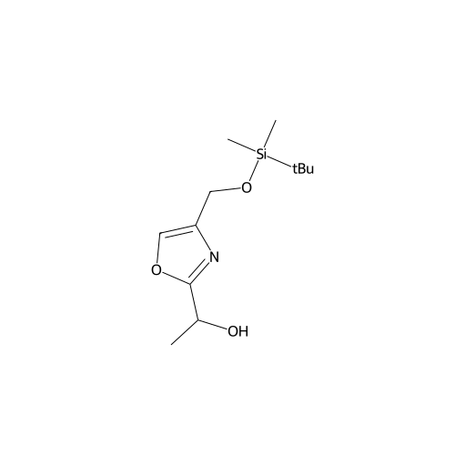 CC(O)c1nc(CO[Si](C)(C)C(C)(C)C)co1